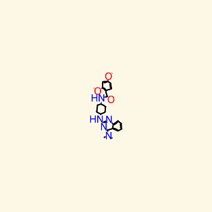 COc1ccc(C(=O)N[C@H]2CC[C@@H](Nc3nc(N(C)C)c4ccccc4n3)CC2)c(OC)c1